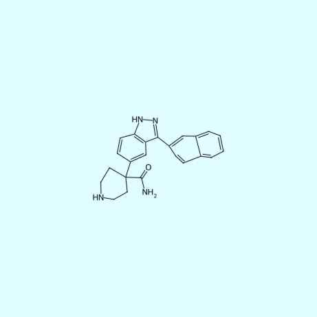 NC(=O)C1(c2ccc3[nH]nc(-c4ccc5ccccc5c4)c3c2)CCNCC1